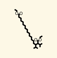 CCOC(=O)CCCCCCCCCCCCCCCC(C(C)C)C(C(=O)OCC)C(C)C